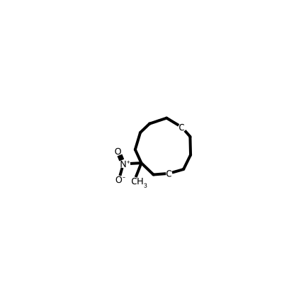 CC1([N+](=O)[O-])CCCCCCCCCC1